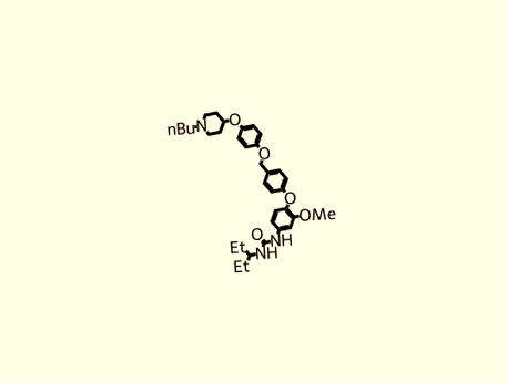 CCCCN1CCC(Oc2ccc(OCc3ccc(Oc4ccc(NC(=O)NC(CC)CC)cc4OC)cc3)cc2)CC1